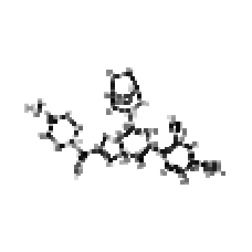 CN1CCN(C(=O)c2cc3c(N4CC5CCC(C4)O5)nc(-c4cnc(N)cc4C(F)(F)F)nn3c2)CC1